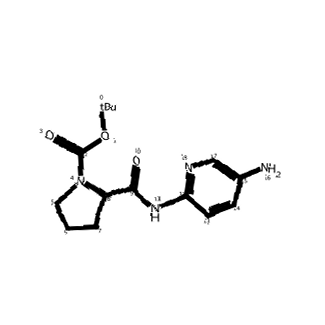 CC(C)(C)OC(=O)N1CCCC1C(=O)Nc1ccc(N)cn1